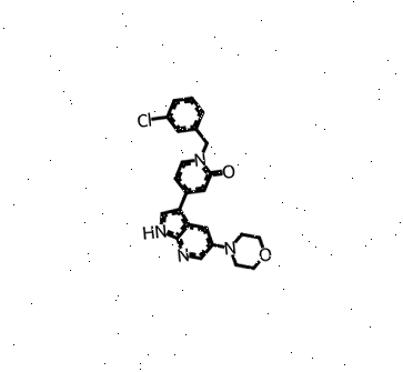 O=c1cc(-c2c[nH]c3ncc(N4CCOCC4)cc23)ccn1Cc1cccc(Cl)c1